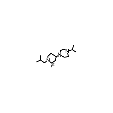 CC(C)CN1CCC(N2CCN(C(C)C)CC2)C[C@@H]1C